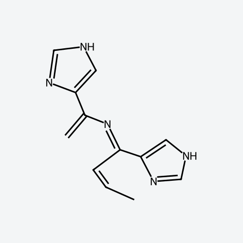 C=C(/N=C(\C=C/C)c1c[nH]cn1)c1c[nH]cn1